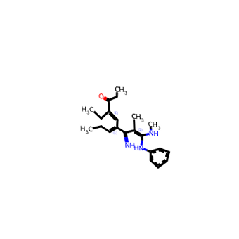 CC/C=C(\C=C(/CC)C(=O)CC)C(=N)/C(C)=C(/NC)Nc1ccccc1